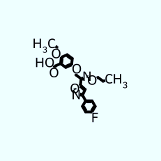 CCCON=C(COc1ccc(OCC)c(C(=O)O)c1)c1cc(-c2ccc(F)cc2)no1